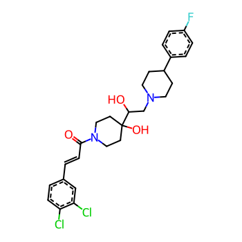 O=C(C=Cc1ccc(Cl)c(Cl)c1)N1CCC(O)(C(O)CN2CCC(c3ccc(F)cc3)CC2)CC1